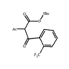 CC(=O)C(C(=O)OC(C)(C)C)C(=O)c1ccccc1C(F)(F)F